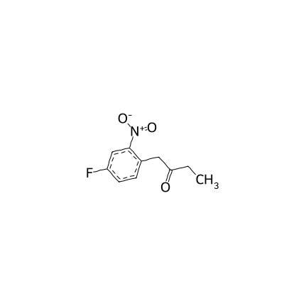 CCC(=O)Cc1ccc(F)cc1[N+](=O)[O-]